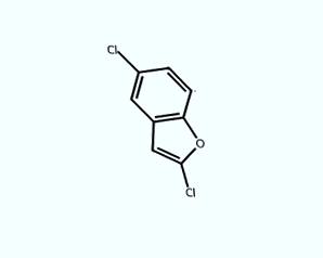 Clc1c[c]c2oc(Cl)cc2c1